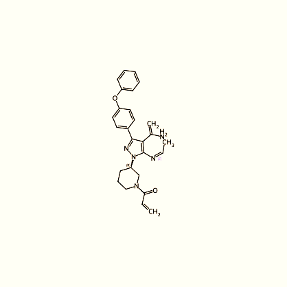 C=CC(=O)N1CCC[C@@H](n2nc(-c3ccc(Oc4ccccc4)cc3)c(C(=C)N)c2/N=C\C)C1